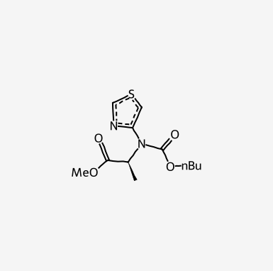 CCCCOC(=O)N(c1cscn1)[C@@H](C)C(=O)OC